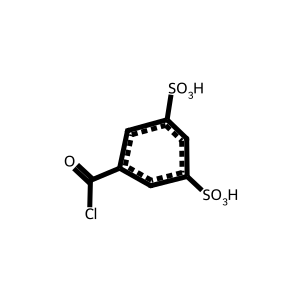 O=C(Cl)c1cc(S(=O)(=O)O)cc(S(=O)(=O)O)c1